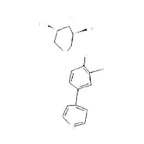 O[C@@H]1[C@@H](O)[C@H](Oc2ccc(-c3ccncc3)cc2F)SC[C@H]1O